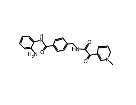 CN1C=C(C(=O)C(=O)NCc2ccc(C(=O)Nc3ccccc3N)cc2)C=CC1